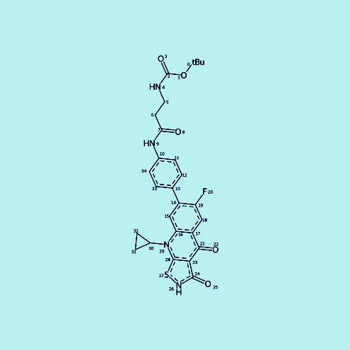 CC(C)(C)OC(=O)NCCC(=O)Nc1ccc(-c2cc3c(cc2F)c(=O)c2c(=O)[nH]sc2n3C2CC2)cc1